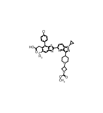 COC(=O)N1CC(N2CCC(c3nn(C4CC4)c4ccc(-c5nc6cc(C)c(CC(=O)O)c(-c7ccc(Cl)cc7)c6s5)nc34)CC2)C1